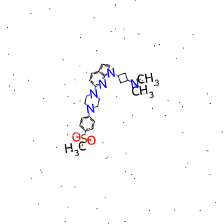 CN(C)[C@H]1C[C@H](n2ccc3ccc(N4CCN(c5ccc(S(C)(=O)=O)cc5)CC4)nc32)C1